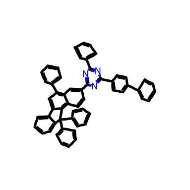 c1ccc(-c2ccc(-c3nc(-c4ccccc4)nc(-c4ccc5c6c(cc(-c7ccccc7)c5c4)-c4ccccc4C6(c4ccccc4)c4ccccc4)n3)cc2)cc1